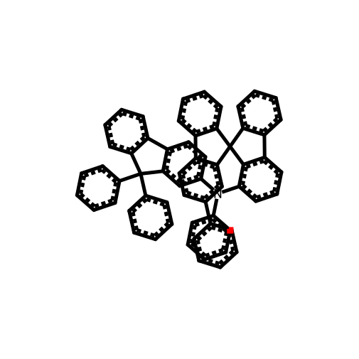 c1ccc(-c2ccc3c(c2)C2(c4ccccc4-3)c3ccccc3-c3cccc(N(c4ccccc4)c4ccc5c(c4)C(c4ccccc4)(c4ccccc4)c4ccccc4-5)c32)cc1